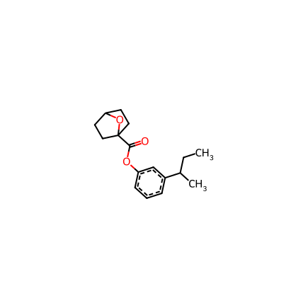 CCC(C)c1cccc(OC(=O)C23CCC(CC2)O3)c1